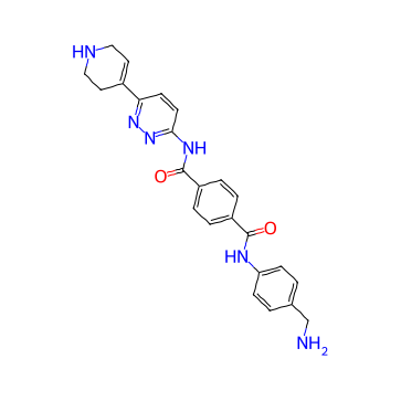 NCc1ccc(NC(=O)c2ccc(C(=O)Nc3ccc(C4=CCNCC4)nn3)cc2)cc1